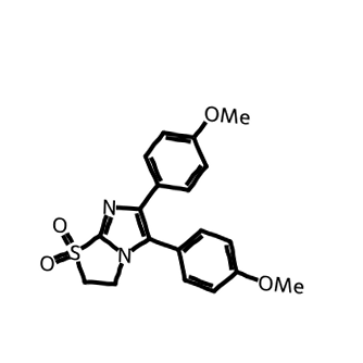 COc1ccc(-c2nc3n(c2-c2ccc(OC)cc2)CCS3(=O)=O)cc1